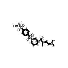 CCN(CC)S(=O)(=O)c1ccc(S(=O)(=O)N2CCC[C@@H](C(=O)NCCN(C)C)C2)cc1